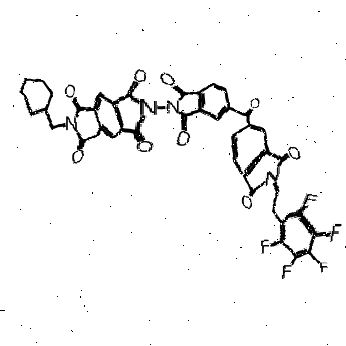 O=C(c1ccc2c(c1)C(=O)N(CCc1c(F)c(F)c(F)c(F)c1F)C2=O)c1ccc2c(c1)C(=O)N(n1c(=O)c3cc4c(=O)n(CC5CCCCC5)c(=O)c4cc3c1=O)C2=O